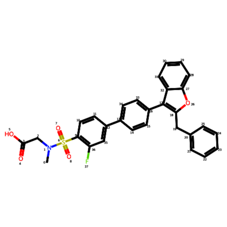 CN(CC(=O)O)S(=O)(=O)c1ccc(-c2ccc(-c3c(Cc4ccccc4)oc4ccccc34)cc2)cc1F